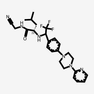 CC(C)C[C@H](NC(c1ccc(N2CCN(c3ccccn3)CC2)cc1)C(F)(F)F)C(=O)NCC#N